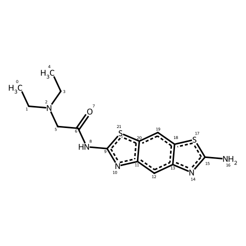 CCN(CC)CC(=O)Nc1nc2cc3nc(N)sc3cc2s1